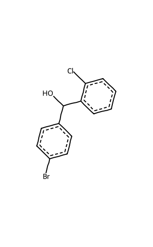 OC(c1ccc(Br)cc1)c1ccccc1Cl